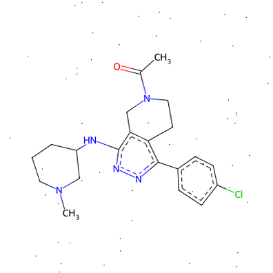 CC(=O)N1CCc2c(-c3ccc(Cl)cc3)nnc(NC3CCCN(C)C3)c2C1